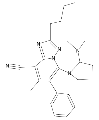 CCCCc1nc2c(C#N)c(C)c(-c3ccccc3)c(N3CCCC3N(C)C)n2n1